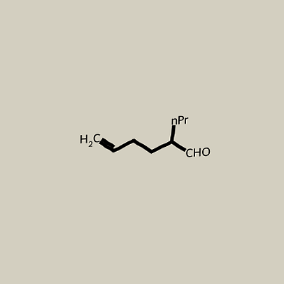 C=CCCC(C=O)CCC